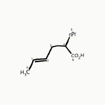 C/C=C/CC(CCC)C(=O)O